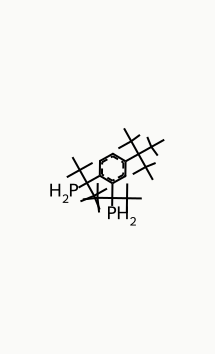 CC(C)(C)C(P)(c1ccc(C(C(C)(C)C)(C(C)(C)C)C(C)(C)C)cc1C(P)(C(C)(C)C)C(C)(C)C)C(C)(C)C